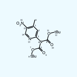 Cc1cc(N(C(=O)OC(C)(C)C)C(=O)OC(C)(C)C)ncc1[N+](=O)[O-]